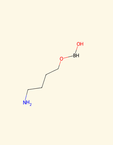 NCCCCOBO